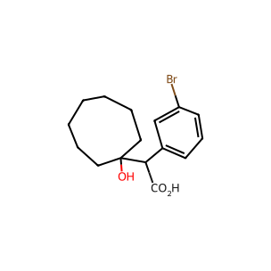 O=C(O)C(c1cccc(Br)c1)C1(O)CCCCCCC1